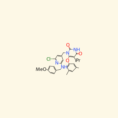 COc1ccc(CNc2cc(Cn3c(Oc4cc(C)cc(C)c4)c(C(C)C)c(=O)[nH]c3=O)cc(Cl)n2)cc1